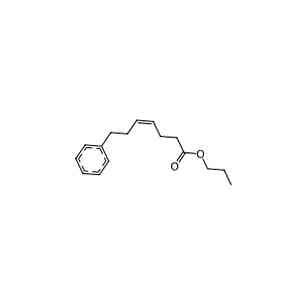 CCCOC(=O)CC/C=C\CCc1ccccc1